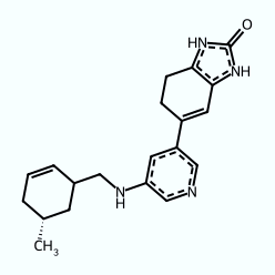 C[C@@H]1CC=CC(CNc2cncc(C3=Cc4[nH]c(=O)[nH]c4CC3)c2)C1